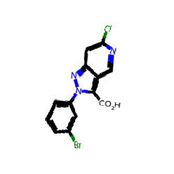 O=C(O)c1c2cnc(Cl)cc2nn1-c1cccc(Br)c1